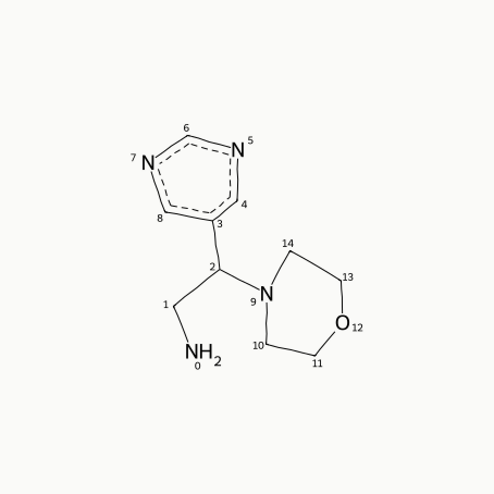 NCC(c1cncnc1)N1CCOCC1